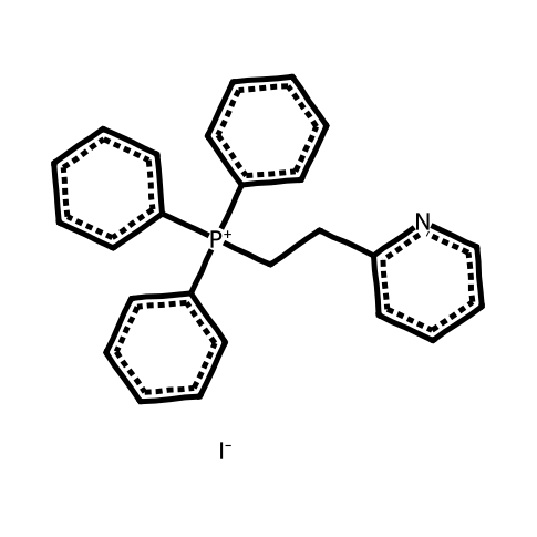 [I-].c1ccc([P+](CCc2ccccn2)(c2ccccc2)c2ccccc2)cc1